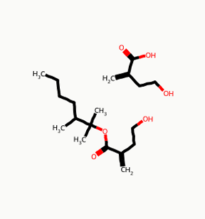 C=C(CCO)C(=O)O.C=C(CCO)C(=O)OC(C)(C)C(C)CCCC